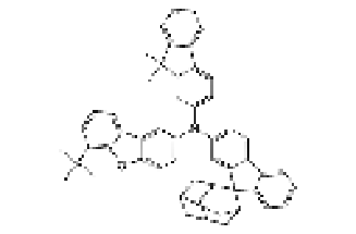 CC(C)(C)c1cccc2c1oc1ccc(N(c3ccc4c(c3)C(C)(C)c3ccccc3-4)c3ccc4c(c3)C3(c5ccccc5-4)C4CC5CC(C4)CC3C5)cc12